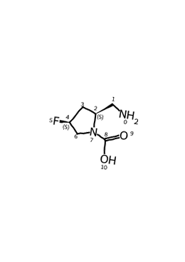 NC[C@@H]1C[C@H](F)CN1C(=O)O